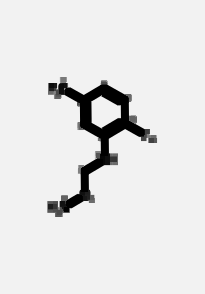 NOCNc1cc(C(F)(F)F)ccc1F